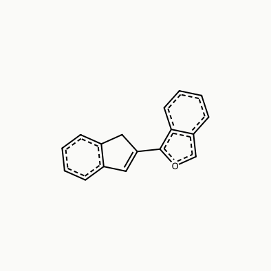 C1=C(c2occ3ccccc23)Cc2ccccc21